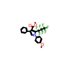 COC(=O)c1c(-c2ccccc2)cn(-c2ccc(OC)cc2)c1C(F)(F)C(F)(F)C(F)(F)F